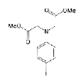 COC(=O)CN(CC(=O)OC)c1ccc(I)cc1